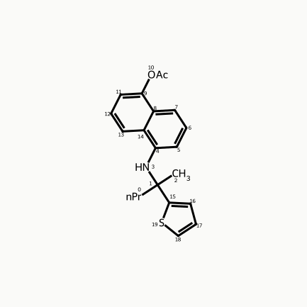 CCCC(C)(Nc1cccc2c(OC(C)=O)cccc12)c1cccs1